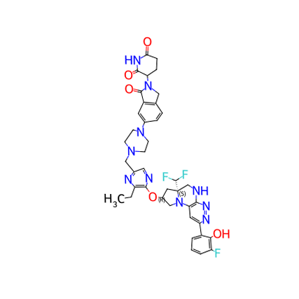 CCc1nc(CN2CCN(c3ccc4c(c3)C(=O)N(C3CCC(=O)NC3=O)C4)CC2)cnc1O[C@H]1CN2c3cc(-c4cccc(F)c4O)nnc3NC[C@]2(C(F)F)C1